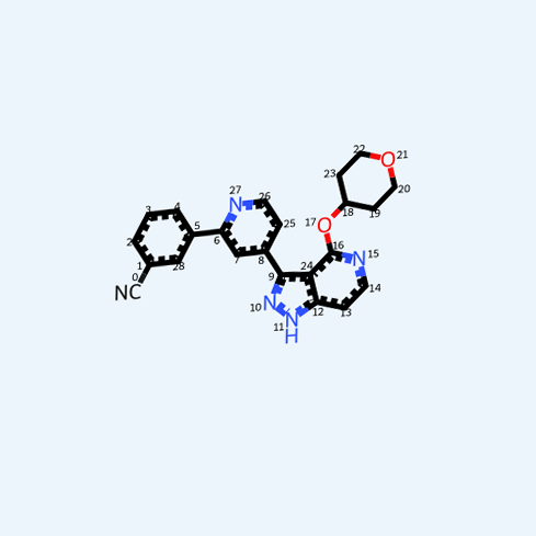 N#Cc1cccc(-c2cc(-c3n[nH]c4ccnc(OC5CCOCC5)c34)ccn2)c1